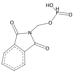 O=C1c2ccccc2C(=O)N1CO[PH](=O)O